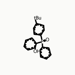 CC(C)(C)c1ccc(P(=O)(c2ccccc2)c2ccccc2O)cc1